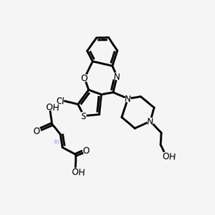 O=C(O)/C=C/C(=O)O.OCCN1CCN(C2=Nc3ccccc3Oc3c2csc3Cl)CC1